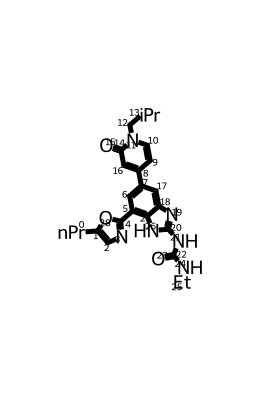 CCCc1cnc(-c2cc(-c3ccn(CC(C)C)c(=O)c3)cc3nc(NC(=O)NCC)[nH]c23)o1